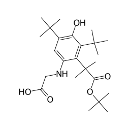 CC(C)(C)OC(=O)C(C)(C)c1c(NCC(=O)O)cc(C(C)(C)C)c(O)c1C(C)(C)C